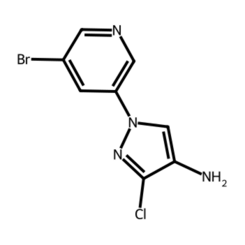 Nc1cn(-c2cncc(Br)c2)nc1Cl